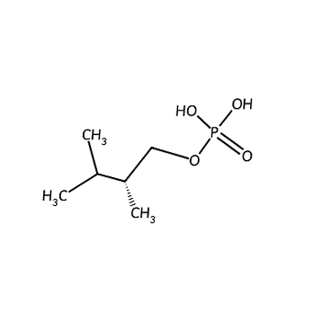 CC(C)[C@@H](C)COP(=O)(O)O